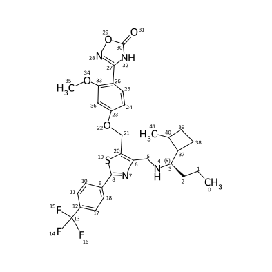 CCC[C@@H](NCc1nc(-c2ccc(C(F)(F)F)cc2)sc1COc1ccc(-c2noc(=O)[nH]2)c(OC)c1)C1CCC1C